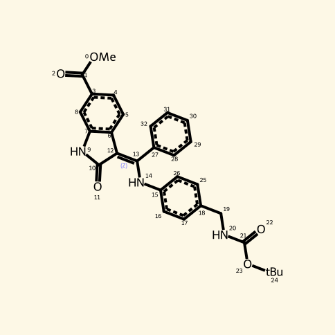 COC(=O)c1ccc2c(c1)NC(=O)/C2=C(\Nc1ccc(CNC(=O)OC(C)(C)C)cc1)c1ccccc1